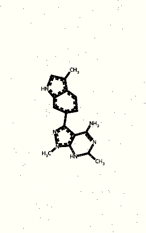 Cc1c[nH]c2cc(-c3nn(C)c4c3C(N)=NC(C)N4)ccc12